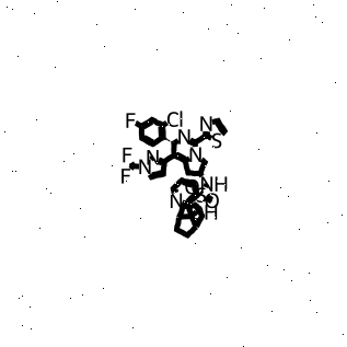 O=S(=O)(NC1CC2=C(c3ccn(C(F)F)n3)[C@H](c3ccc(F)cc3Cl)N=C(c3nccs3)N2C1)C1CC2CCC(C1)C2(O)c1ccccn1